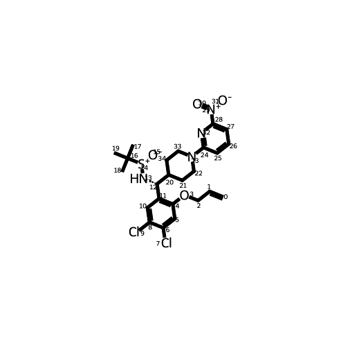 C=CCOc1cc(Cl)c(Cl)cc1[C@H](N[S+]([O-])C(C)(C)C)C1CCN(c2cccc([N+](=O)[O-])n2)CC1